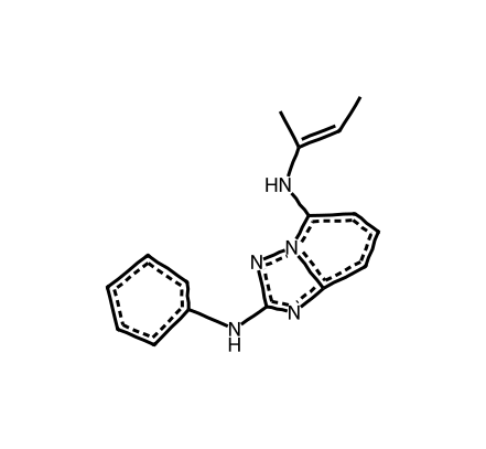 CC=C(C)Nc1cccc2nc(Nc3ccccc3)nn12